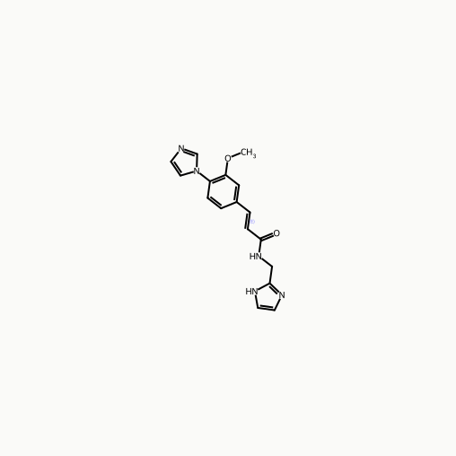 COc1cc(/C=C/C(=O)NCc2ncc[nH]2)ccc1-n1ccnc1